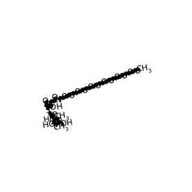 COCCOCCOCCOCCOCCOCCOCCOCCOCCOCCOCCOCCNC(=O)CCN1C(=O)CC(SCCC(=O)N[C@@H]2[C@H](O)[C@H](C)[C@@H](CO)O[C@H]2C)C1=O